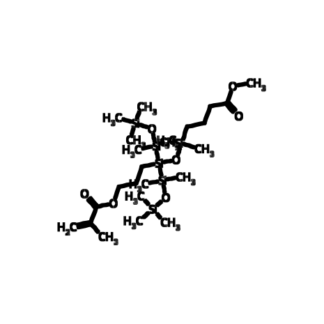 C=C(C)C(=O)OCCC[Si](O[Si](C)(C)CCCC(=O)OC)([Si](C)(C)O[Si](C)(C)C)[Si](C)(C)O[Si](C)(C)C